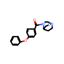 O=C(c1ccc(Oc2ccccc2)cc1)N1CCN2CCC1CC2